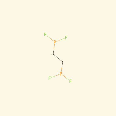 FP(F)[CH]CP(F)F